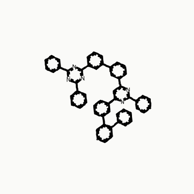 c1ccc(-c2nc(-c3cccc(-c4cccc(-c5nc(-c6ccccc6)nc(-c6ccccc6)n5)c4)c3)cc(-c3cccc(-c4ccccc4-c4ccccc4)c3)n2)cc1